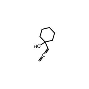 C=C=CC1(O)CCCCC1